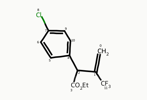 C=C(C(C(=O)OCC)c1ccc(Cl)cc1)C(F)(F)F